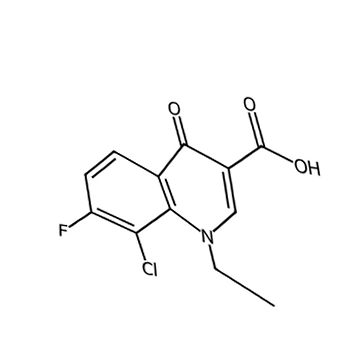 CCn1cc(C(=O)O)c(=O)c2ccc(F)c(Cl)c21